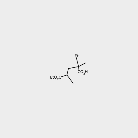 CCOC(=O)C(C)CC(C)(CC)C(=O)O